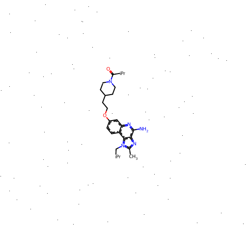 Cc1nc2c(N)nc3cc(OCCC4CCN(C(=O)C(C)C)CC4)ccc3c2n1CC(C)C